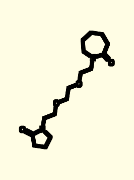 O=C1CCCCCN1CCOCCOCCN1CCCC1=O